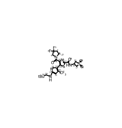 C[C@H]1CC(F)(F)CN1C(=O)c1nc(C(=O)NC2CS(=O)(=O)C2)sc1-c1cnc(NCC(C)(C)C)cc1C(F)(F)F